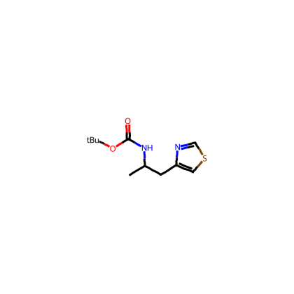 CC(Cc1cscn1)NC(=O)OC(C)(C)C